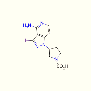 Nc1nccc2c1c(I)nn2C1CCN(C(=O)O)C1